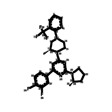 C[C@@H]1CN(c2ncccc2C(F)(F)F)CCN1c1cc(-c2ccc(F)c(F)c2)nc(N2CCC[C@@H]2C)n1